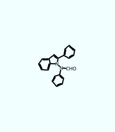 O=CN(c1ccccc1)n1c(-c2ccccc2)cc2ccccc21